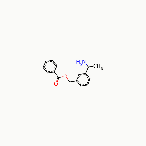 CC(N)c1cccc(COC(=O)c2ccccc2)c1